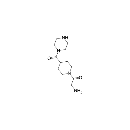 NCC(=O)N1CCC(C(=O)N2CCNCC2)CC1